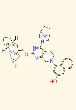 Oc1cc(N2CCc3c(nc(OC[C@@]45C[C@H](F)CN4[C@@H]4CCC[C@@H]4C5)nc3N3CC4CCC(C3)N4)C2)c2ccccc2c1